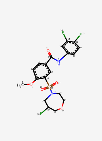 COc1ccc(C(=O)Nc2ccc(F)c(F)c2)cc1S(=O)(=O)N1CCOCC(F)C1